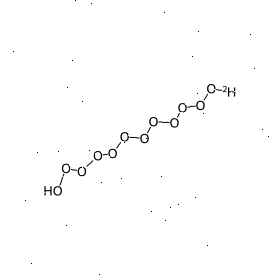 [2H]OOOOOOOOOOOO